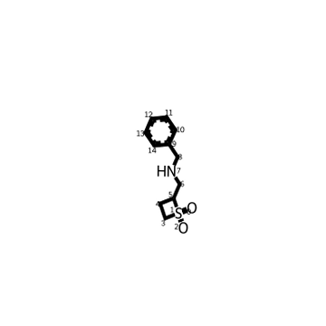 O=S1(=O)CCC1CNCc1ccccc1